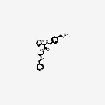 NN=Cc1ccc(CNC(C(=O)NCC(=O)NCc2ccncc2)c2ccc[nH]2)cc1